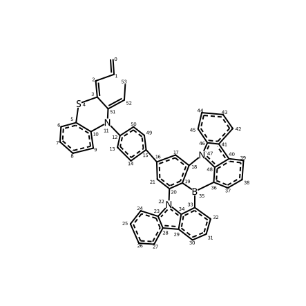 C=C/C=C1/Sc2ccccc2N(c2ccc(-c3cc4c5c(c3)-n3c6ccccc6c6cccc(c63)B5c3cccc5c6ccccc6n-4c35)cc2)/C1=C/C